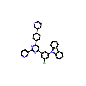 Brc1cc(-c2cc(-c3ccc(-c4cccnc4)cc3)nc(-c3cccnc3)n2)cc(-n2c3ccccc3c3ccccc32)c1